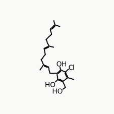 CC(C)=CCC/C(C)=C/CC/C(C)=C/Cc1c(O)c(Cl)c(C)c(CO)c1O